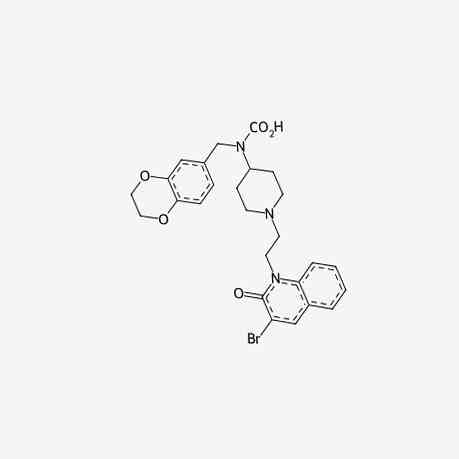 O=C(O)N(Cc1ccc2c(c1)OCCO2)C1CCN(CCn2c(=O)c(Br)cc3ccccc32)CC1